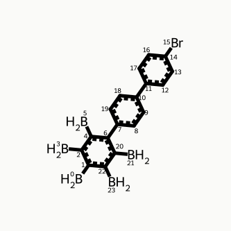 Bc1c(B)c(B)c(-c2ccc(-c3ccc(Br)cc3)cc2)c(B)c1B